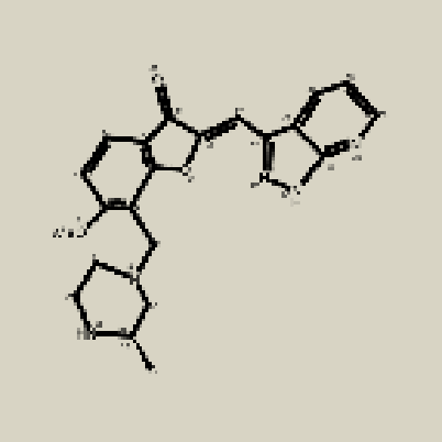 COc1ccc2c(c1CN1CCN[C@H](C)C1)OC(=Cc1n[nH]c3ncccc13)C2=O